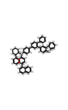 c1ccc(-c2ccc(-c3ccc(N(c4ccc(-c5cccc6ccccc56)cc4)C4CCCCC4c4ccccc4)cc3)cc2-c2ccc3oc4ccccc4c3c2)cc1